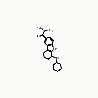 CN(C)C(=O)c1ccc2[nH]c3c(c2c1)CCCC3NC1CCCCC1